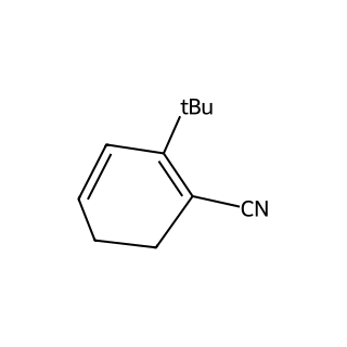 CC(C)(C)C1=C(C#N)CCC=C1